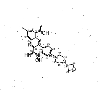 Cc1cc(C(C)O)c2cc(-c3ccc(N4CCN(C5COC5)CC4)cc3)c(C(=N)NO)nc2c1